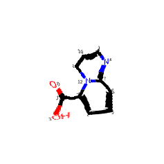 O=C(O)C1=CC=CC2=NC=CCN12